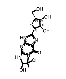 CC1(O)C(O)Nc2nc3[nH]c([C@H]4O[C@H](CO)[C@@H](O)[C@H]4O)nc3c(=O)n21